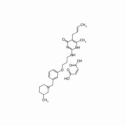 CC=CCc1c(C)[nH]c(NCCCOc2cccc(CN3CCCC(C)C3)c2)nc1=O.O=C(O)/C=C\C(=O)O